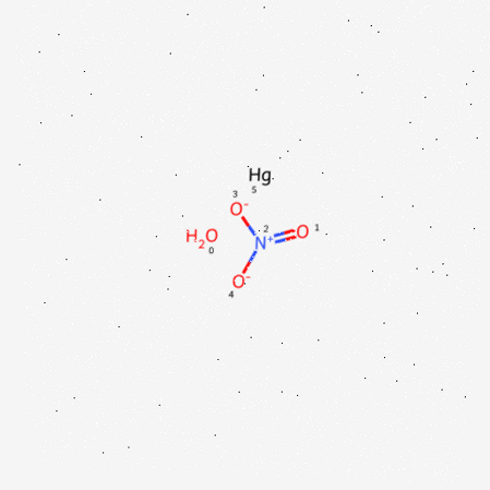 O.O=[N+]([O-])[O-].[Hg]